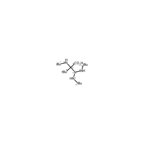 CCC(C)NN(NC(C)CC)C(NC(C)CC)(C(=O)O)C(C)(C)C